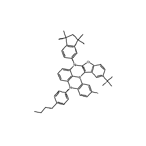 CCCCc1ccc(N2c3ccc(C)cc3B3c4c2cccc4N(c2ccc4c(c2)C(C)(C)CC4(C)C)c2oc4ccc(C(C)(C)C)cc4c23)cc1